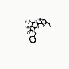 CCc1c[nH]c(-c2nc(N)c3[nH]c(=O)n(Cc4ccccc4)c3n2)n1